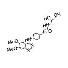 COc1cc2ncnc(Nc3ccc(/C=C/C(=O)NCC(O)CO)cc3)c2cc1OC